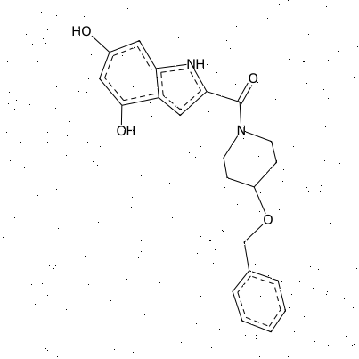 O=C(c1cc2c(O)cc(O)cc2[nH]1)N1CCC(OCc2ccccc2)CC1